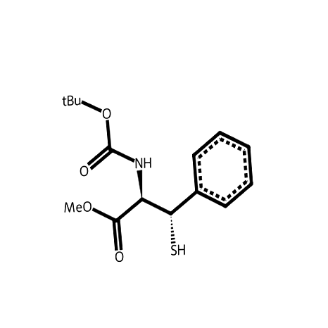 COC(=O)[C@@H](NC(=O)OC(C)(C)C)[C@@H](S)c1ccccc1